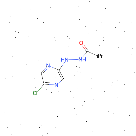 CC(C)C(=O)NNc1cnc(Cl)cn1